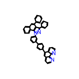 c1ccc(-c2cc3ccccc3c3c2c(-c2ccccc2)nn3-c2cccc(-c3ccc(-c4cc5cccnc5c5ncccc45)cc3)c2)cc1